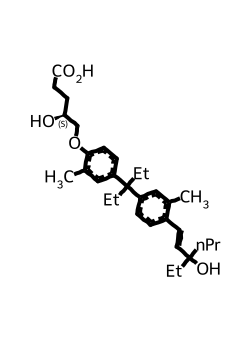 CCCC(O)(C=Cc1ccc(C(CC)(CC)c2ccc(OC[C@@H](O)CCC(=O)O)c(C)c2)cc1C)CC